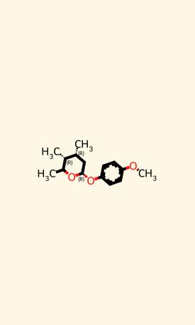 COc1ccc(O[C@@H]2C[C@@H](C)[C@@H](C)C(C)O2)cc1